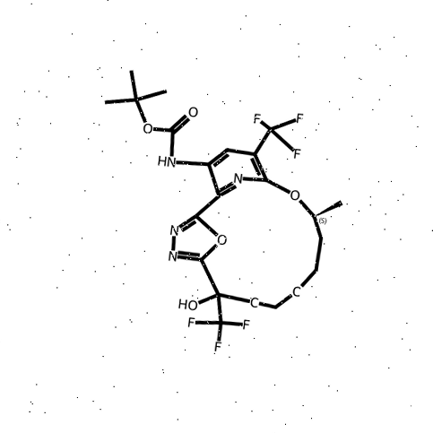 C[C@H]1CCCCCC(O)(C(F)(F)F)c2nnc(o2)-c2nc(c(C(F)(F)F)cc2NC(=O)OC(C)(C)C)O1